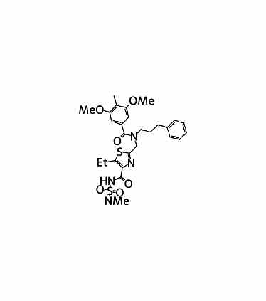 CCc1sc(CN(CCCc2ccccc2)C(=O)c2cc(OC)c(C)c(OC)c2)nc1C(=O)NS(=O)(=O)NC